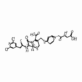 O=C(O)CNC(=O)C[n+]1ccc(SCC2=C(C(=O)O)N3C(=O)[C@H](NC(=S)Cc4cc(Cl)nc(Cl)c4)[C@H]3SC2)cc1